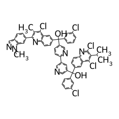 Cc1c(-c2ccc3cnn(C)c3c2)nc2ccc(C(O)(c3ccc(-c4cncc(C(O)(c5cccc(Cl)c5)c5ccc6nc(Cl)c(C(C)C)c(Cl)c6c5)c4)nc3)c3cccc(Cl)c3)cc2c1Cl